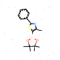 Cc1nc(-c2ccccc2)sc1B1OC(C)(C)C(C)(C)O1